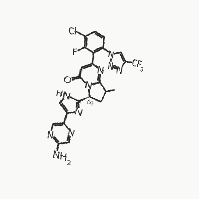 CC1C[C@@H](c2nc(-c3cnc(N)cn3)c[nH]2)n2c1nc(-c1c(-n3cc(C(F)(F)F)nn3)ccc(Cl)c1F)cc2=O